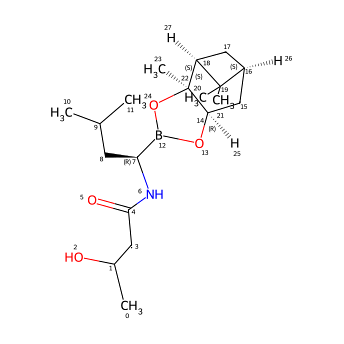 CC(O)[CH]C(=O)N[C@@H](CC(C)C)B1O[C@@H]2C[C@@H]3C[C@@H](C3(C)C)[C@]2(C)O1